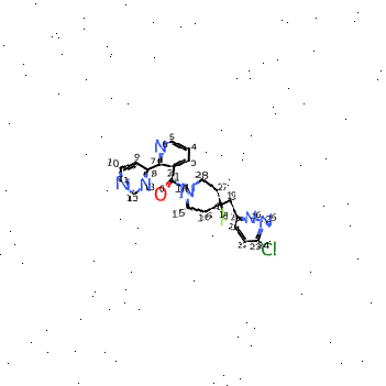 O=C(c1cccnc1-c1ccncn1)N1CCC(F)(Cc2ccc(Cl)nn2)CC1